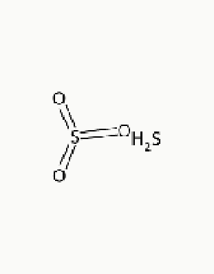 O=S(=O)=O.S